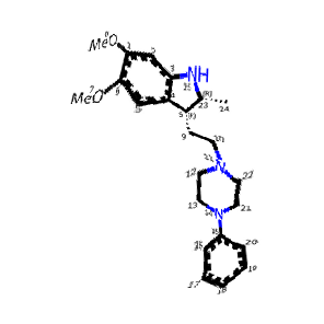 COc1cc2c(cc1OC)[C@@H](CCN1CCN(c3ccccc3)CC1)[C@@H](C)N2